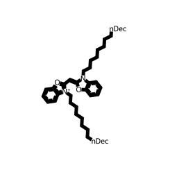 CCCCCCCCCCCCCCCCCCN1/C(=C/c2oc3ccccc3[n+]2CCCCCCCCCCCCCCCCCC)Oc2ccccc21